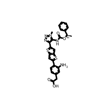 C[C@@H](OC(=O)Nc1c(-c2cc3sc(-c4ccc(CC(=O)O)cc4N)cc3s2)nnn1C)c1ccccc1